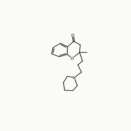 CC1(CCCN2CCCCC2)CC(=O)c2ccccc2O1